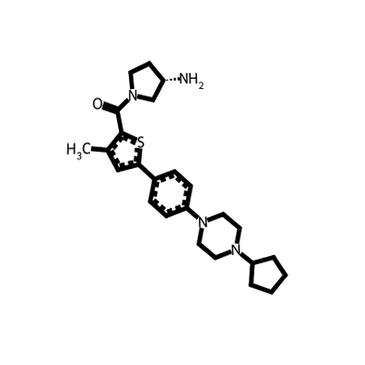 Cc1cc(-c2ccc(N3CCN(C4CCCC4)CC3)cc2)sc1C(=O)N1CC[C@H](N)C1